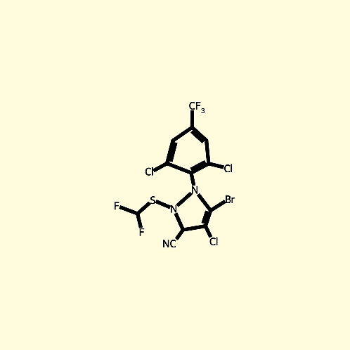 N#CC1C(Cl)=C(Br)N(c2c(Cl)cc(C(F)(F)F)cc2Cl)N1SC(F)F